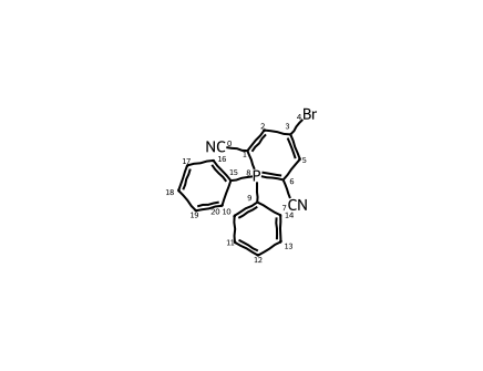 N#CC1=CC(Br)=CC(C#N)=P1(c1ccccc1)c1ccccc1